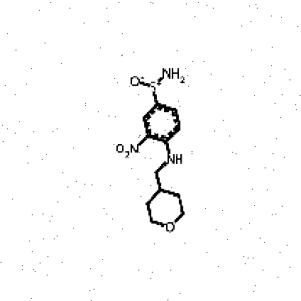 N[S+]([O-])c1ccc(NCC2CCOCC2)c([N+](=O)[O-])c1